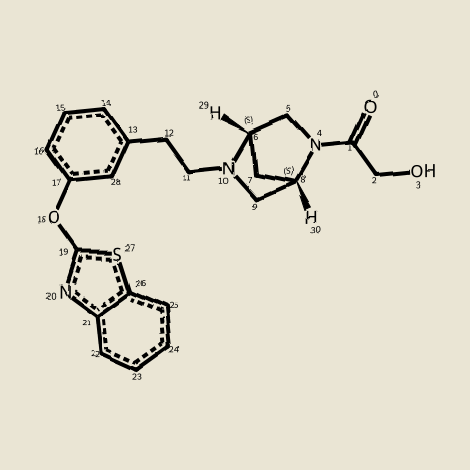 O=C(CO)N1C[C@@H]2C[C@H]1CN2CCc1cccc(Oc2nc3ccccc3s2)c1